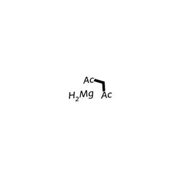 CC(=O)CC(C)=O.[MgH2]